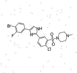 CN1CCN(S(=O)(=O)c2cc(-c3nc(-c4ccc(Br)c(F)c4)c[nH]3)ccc2Cl)CC1